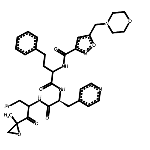 CC(C)CC(NC(=O)[C@H](Cc1ccncc1)NC(=O)C(CCc1ccccc1)NC(=O)c1cc(CN2CCOCC2)on1)C(=O)C1(C)CO1